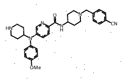 COc1ccc(N(c2ccc(C(=O)NC3CCN(Cc4ccc(C#N)cc4)CC3)nc2)C2CCNCC2)cc1